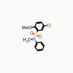 COc1ccc(Cl)cc1S(=O)(=O)N(C)c1ccccc1